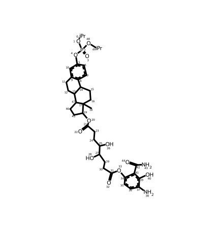 CC(C)OP(=O)(Oc1ccc2c(c1)CCC1C2CCC2(C)C(OC(=O)CCC(O)C(O)CCC(=O)Oc3ccc(N)c(O)c3C(N)=O)CCC12)OC(C)C